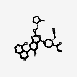 C=CC(=O)N1CCN(c2nc(OC[C@@H]3CCCN3C)nc3cc(-c4cncc5cccc(Cl)c45)c(F)cc23)C[C@@H]1CC#N